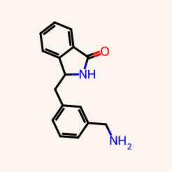 NCc1cccc(CC2NC(=O)c3ccccc32)c1